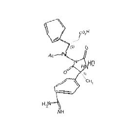 CC(=O)N([C@@H](CC(=O)O)c1ccccc1)N1C(=O)N[C@@](C)(c2ccc(C(=N)N)cc2)C1=O.Cl